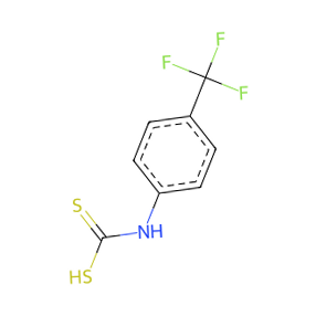 FC(F)(F)c1ccc(NC(=S)S)cc1